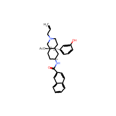 C=CCN1CC[C@@]2(c3cccc(O)c3)C[C@@H](NC(=O)c3ccc4ccccc4c3)CC[C@]2(OC(C)=O)C1